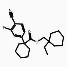 CCC1(COC(=O)C2(c3ccc(C#N)c(F)c3)CCCCC2)CCCCC1